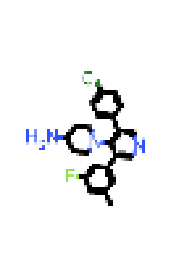 Cc1cc(F)cc(-c2cncc(-c3ccc(Cl)cc3)c2N2CCC(N)CC2)c1